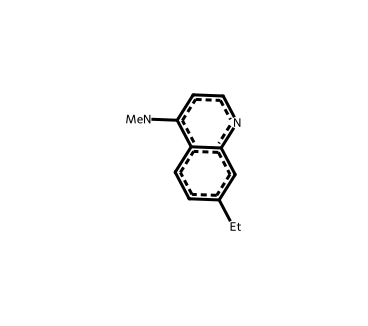 CCc1ccc2c(NC)ccnc2c1